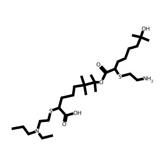 CCCN(CC)CCSC(CCCC(C)(C)C(C)(C)OC(=O)C(CCCCC(C)(C)O)SCCN)C(=O)O